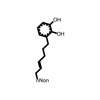 CCCCCCCCCCC=CCCCc1cccc(O)c1O